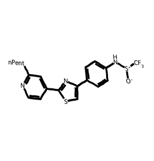 CCCCCc1cc(-c2nc(-c3ccc(N[S+]([O-])C(F)(F)F)cc3)cs2)ccn1